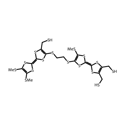 CSC1=C(SC)SC(=C2SC(CS)=C(SCCSC3=C(SC)SC(=C4SC(CS)=C(CS)S4)S3)S2)S1